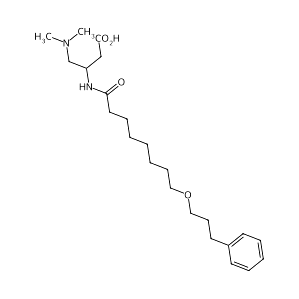 CN(C)CC(CC(=O)O)NC(=O)CCCCCCCOCCCc1ccccc1